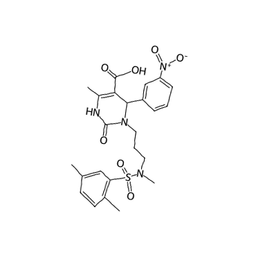 CC1=C(C(=O)O)C(c2cccc([N+](=O)[O-])c2)N(CCCN(C)S(=O)(=O)c2cc(C)ccc2C)C(=O)N1